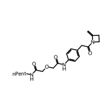 C=C1CCN1C(=O)Cc1ccc(NC(=O)COCC(=O)NCCCCC)cc1